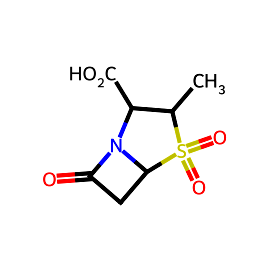 CC1C(C(=O)O)N2C(=O)CC2S1(=O)=O